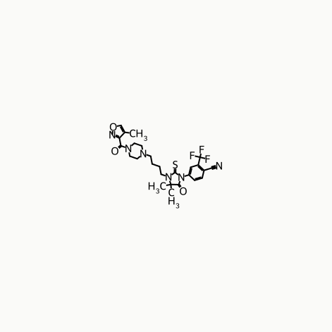 Cc1conc1C(=O)N1CCN(CCCCN2C(=S)N(c3ccc(C#N)c(C(F)(F)F)c3)C(=O)C2(C)C)CC1